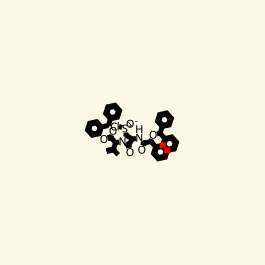 C=C(C)C(C(=O)OC(c1ccccc1)c1ccccc1)N1C(=O)C(NC(=O)C(OC(c2ccccc2)c2ccccc2)c2ccccc2)C1[S+]([O-])Cl